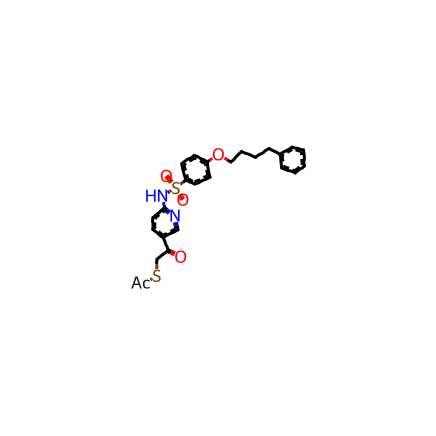 CC(=O)SCC(=O)c1ccc(NS(=O)(=O)c2ccc(OCCCCc3ccccc3)cc2)nc1